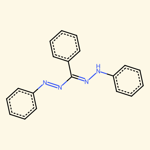 c1ccc(/N=N/C(=N/Nc2ccccc2)c2ccccc2)cc1